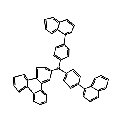 c1ccc2c(-c3ccc(N(c4ccc(-c5cccc6ccccc56)cc4)c4ccc5c6ccccc6c6ccccc6c5c4)cc3)cccc2c1